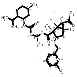 CC(C)C1CC[C@@H](C)C[C@H]1OC(=O)O[C@H](C)OC(=O)[C@@]1(N)[C@H]2[C@@H](C[C@H]1OCc1cccc(Cl)n1)[C@]2(F)C(=O)O